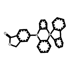 O=C1OCc2cc(N3c4ccccc4[Si]4(c5ccccc5-c5ccccc54)c4ccccc43)ccc21